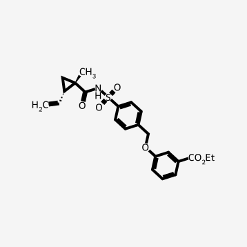 C=C[C@@H]1C[C@]1(C)C(=O)NS(=O)(=O)c1ccc(COc2cccc(C(=O)OCC)c2)cc1